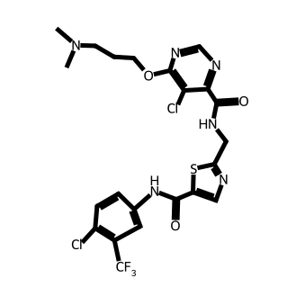 CN(C)CCCOc1ncnc(C(=O)NCc2ncc(C(=O)Nc3ccc(Cl)c(C(F)(F)F)c3)s2)c1Cl